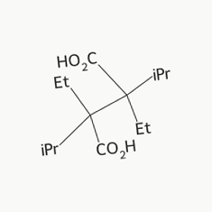 CCC(C(=O)O)(C(C)C)C(CC)(C(=O)O)C(C)C